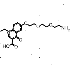 CCn1cc(C(=O)O)c(=O)c2cc(OCCOCCOCCN)ccc21